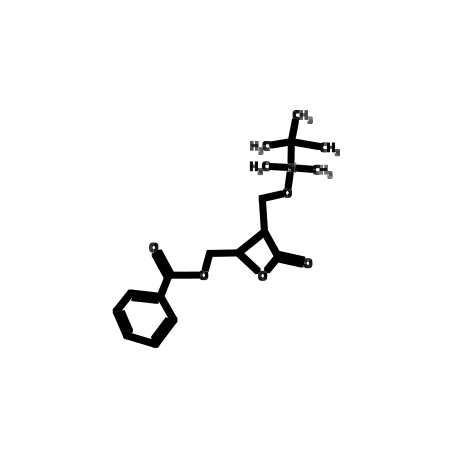 CC(C)(C)[Si](C)(C)OCC1C(=O)OC1COC(=O)c1ccccc1